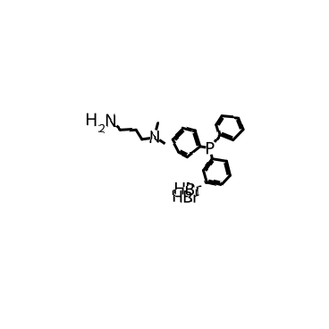 Br.Br.CN(C)CCCN.c1ccc(P(c2ccccc2)c2ccccc2)cc1